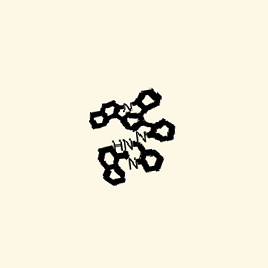 c1ccc2c(c1)N=C(c1cccc3ccccc13)NC2n1c2ccccc2c2c3c4ccccc4n4c5ccc6ccccc6c5c(cc21)c34